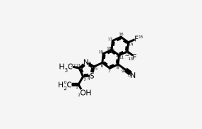 C=C(O)c1sc(-c2cc(C#N)c3c(F)c(F)ccc3c2)nc1C